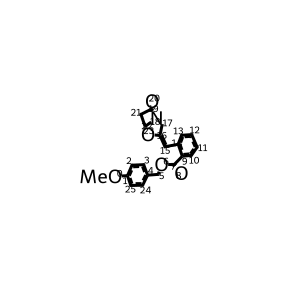 COc1ccc(COC(=O)c2ccccc2C=C2CN3C(=O)CC3O2)cc1